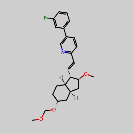 COCO[C@@H]1CC[C@@H]2[C@H](C1)C[C@H](OC)[C@H]2/C=C/c1ccc(-c2cccc(F)c2)cn1